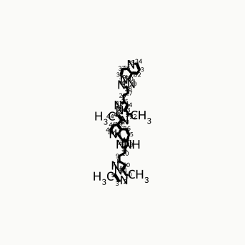 Cc1ncc(C)n2nc(CCc3nc4c(ccc5c(-c6nc(C)c7cc(CCc8nc9c%10cccnc%10ccn9n8)nn7c6C)ccnc54)[nH]3)cc12